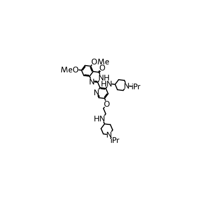 COc1cc(OC)c2c(=O)[nH]c(-c3ncc(OCCNC4CCN(C(C)C)CC4)cc3NC3CCN(C(C)C)CC3)nc2c1